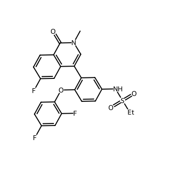 CCS(=O)(=O)Nc1ccc(Oc2ccc(F)cc2F)c(-c2cn(C)c(=O)c3ccc(F)cc23)c1